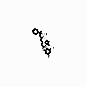 CCc1cc(F)cc2nc(CCCC(=O)CC(C)(O)c3ccccc3)n(C3(C)CCC3)c12